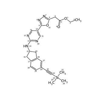 CCOC(=O)Cc1nnc(-c2cnc(NC3Cc4ccc(C#C[Si](C)(C)C)cc4C3)nc2)o1